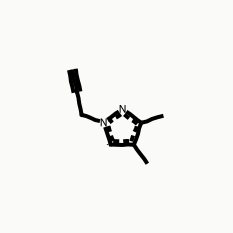 C#CCn1[c]c(C)c(C)n1